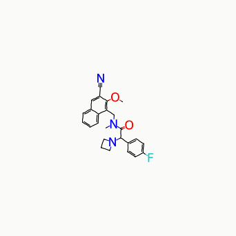 COc1c(C#N)cc2ccccc2c1CN(C)C(=O)C(c1ccc(F)cc1)N1CCC1